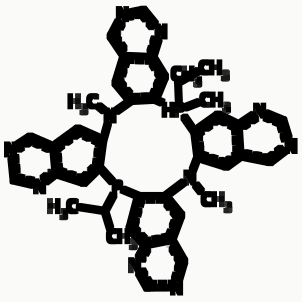 CC(C)P1c2cc3ncncc3cc2N(C)c2cc3cncnc3cc2[PH](C)(C(C)C)c2cc3ncncc3cc2N(C)c2cc3cncnc3cc21